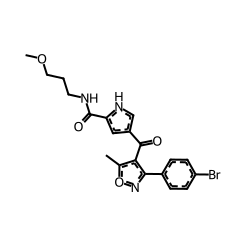 COCCCNC(=O)c1cc(C(=O)c2c(-c3ccc(Br)cc3)noc2C)c[nH]1